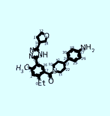 CCc1cc(C)c(-c2nnc(C3CCOC3)[nH]2)cc1C(=O)N1CCC(c2ccc(N)cc2)CC1